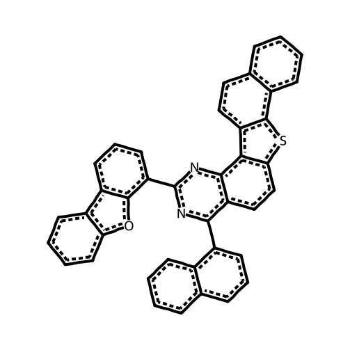 c1ccc2c(-c3nc(-c4cccc5c4oc4ccccc45)nc4c3ccc3sc5c6ccccc6ccc5c34)cccc2c1